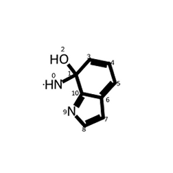 [NH]C1(O)C=CC=C2C=CN=C21